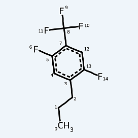 CCCc1cc(F)c(C(F)(F)F)cc1F